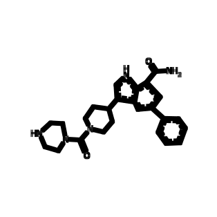 NC(=O)c1cc(-c2ccccc2)cc2c(C3CCN(C(=O)N4CCNCC4)CC3)c[nH]c12